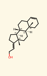 C[C@]12CCC=CC1CC[C@@H]1[C@@H]2CC[C@]2(C)C(=CCO)CC[C@@H]12